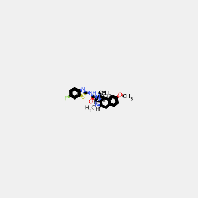 COc1ccc2c(c1)[C@]1(C)CCN(C)[C@H](C2)[C@@H]1N(C)C(=O)Nc1nc2ccc(F)cc2s1